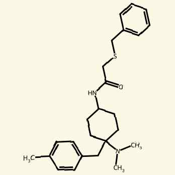 Cc1ccc(CC2(N(C)C)CCC(NC(=O)CSCc3ccccc3)CC2)cc1